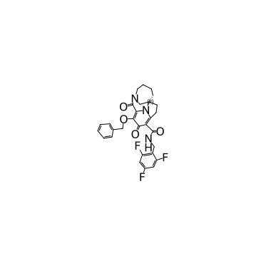 O=C(NCc1c(F)cc(F)cc1F)c1c2n3c(c(OCc4ccccc4)c1=O)C(=O)N1CCCC[C@@]3(CC2)C1